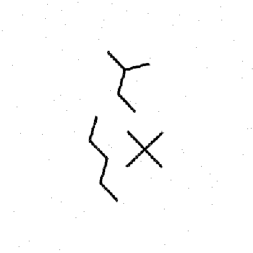 CC(C)(C)C.CCC(C)C.CCCCC